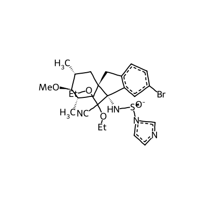 CCOC(C#N)(OCC)[C@]1(N[S@@+]([O-])n2ccnc2)c2cc(Br)ccc2C[C@@]12C[C@@H](C)[C@H](OC)[C@@H](C)C2